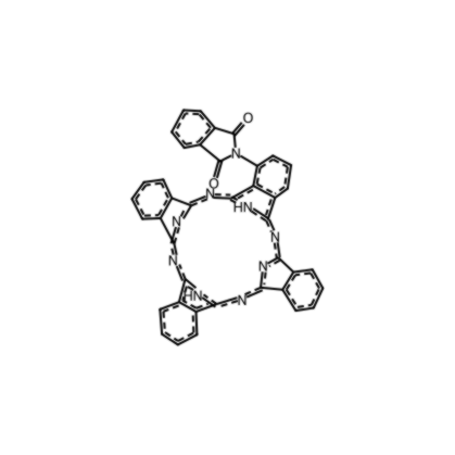 O=C1c2ccccc2C(=O)N1c1cccc2c3nc4nc(nc5[nH]c(nc6nc(nc([nH]3)c12)-c1ccccc1-6)c1ccccc51)-c1ccccc1-4